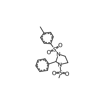 Cc1ccc(S(=O)(=O)N2CCN(S(C)(=O)=O)C2c2ccccc2)cc1